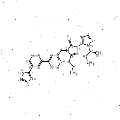 CCCc1cn(-c2ncnn2C(C)CC)c(=O)n1Cc1cc(-c2cccc(-c3nnn[nH]3)c2)ccn1